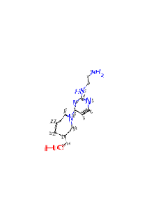 NCCNc1nccc(N2CCCC(CO)C2)n1